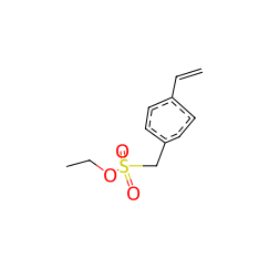 C=Cc1ccc(CS(=O)(=O)OCC)cc1